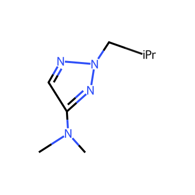 CC(C)Cn1ncc(N(C)C)n1